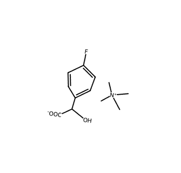 C[N+](C)(C)C.O=C([O-])C(O)c1ccc(F)cc1